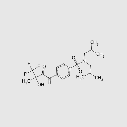 CC(C)CN(CC(C)C)S(=O)(=O)c1ccc(NC(=O)C(C)(O)C(F)(F)F)cc1